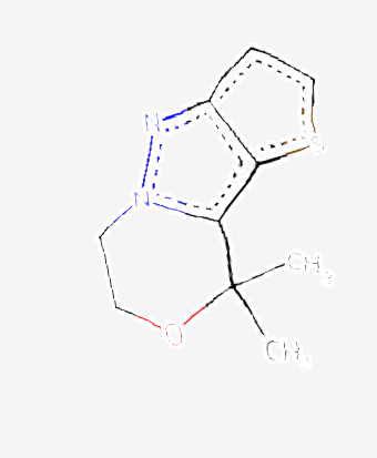 CC1(C)OCCn2nc3ccsc3c21